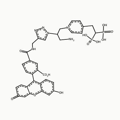 NCC(C[n+]1ccc(CC(P(=O)(O)O)P(=O)(O)O)cc1)n1cc(CNC(=O)c2ccc(-c3c4ccc(=O)cc-4oc4cc(O)ccc34)c(C(=O)O)c2)nn1